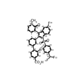 Cn1cccc(-c2c(-c3cccc(-c4ccc(C(=O)O)cc4Cl)c3)n(S(=O)(=O)c3ccc(C(F)F)cc3)c3ccc(F)cc23)c1=O